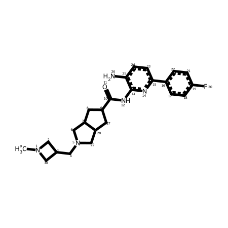 CN1CC(CN2CC3CC(C(=O)Nc4nc(-c5ccc(F)cc5)ccc4N)CC3C2)C1